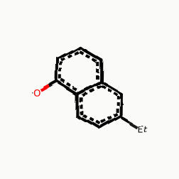 CCc1ccc2c([O])cccc2c1